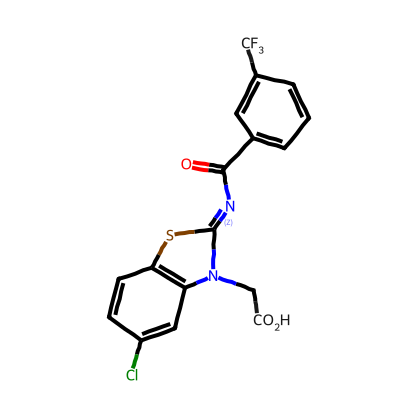 O=C(O)Cn1/c(=N/C(=O)c2cccc(C(F)(F)F)c2)sc2ccc(Cl)cc21